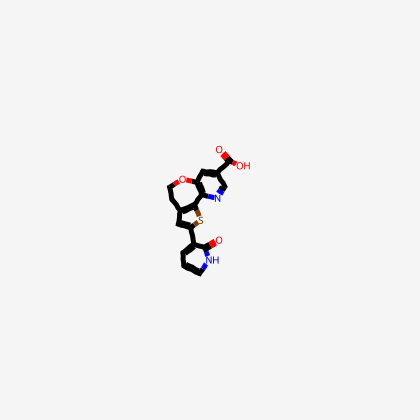 O=C(O)c1cnc2c(c1)OCCc1cc(-c3ccc[nH]c3=O)sc1-2